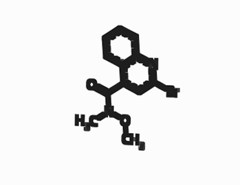 CON(C)C(=O)c1cc(Br)nc2ccccc12